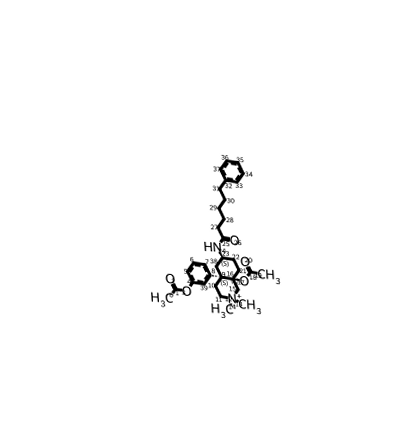 CC(=O)Oc1cccc([C@@]23CC[N+](C)(C)C[C@@]2(OC(C)=O)CC[C@H](NC(=O)CCCCCc2ccccc2)C3)c1